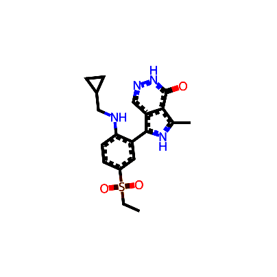 CCS(=O)(=O)c1ccc(NCC2CC2)c(-c2[nH]c(C)c3c(=O)[nH]ncc23)c1